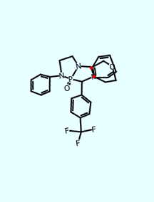 O=P1(C(c2ccc(C(F)(F)F)cc2)N2CCOCC2)N(c2ccccc2)CCN1c1ccccc1